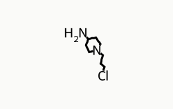 NC1CCN(CCCCl)CC1